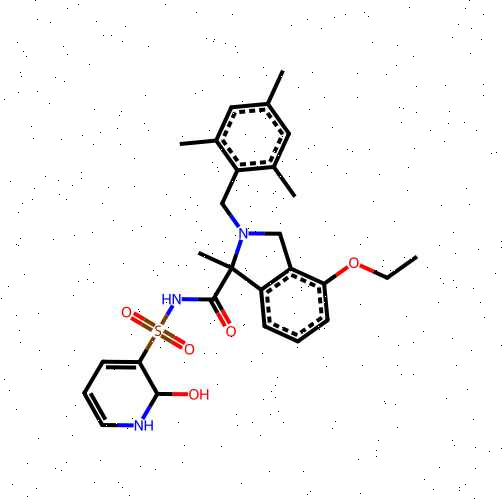 CCOc1cccc2c1CN(Cc1c(C)cc(C)cc1C)C2(C)C(=O)NS(=O)(=O)C1=CC=CNC1O